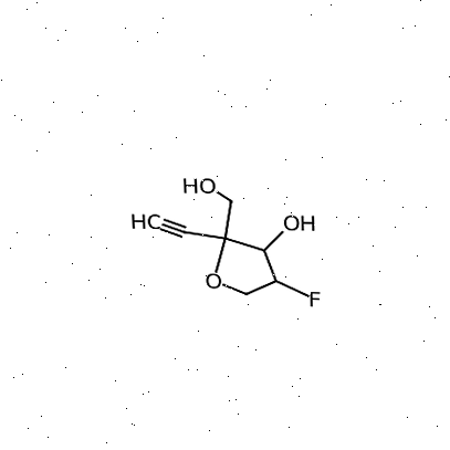 C#CC1(CO)OCC(F)C1O